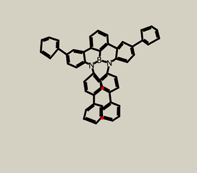 c1ccc(-c2ccc(N3B4c5c(cccc5-c5cc(-c6ccccc6)ccc5N4c4ccc(-c5ccccc5)cc4)-c4cc(-c5ccccc5)ccc43)cc2)cc1